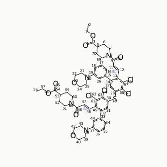 CCOC(=O)C1CCN(C(=O)/C=C/c2c(-c3cccc(N4CCOCC4)c3)cc(Sc3cc(-c4cccc(N5CCOCC5)c4)c(/C=C/C(=O)N4CCC(C(=O)OCC)CC4)c(Cl)c3Cl)c(Cl)c2Cl)CC1